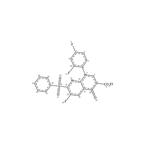 CCOC(=O)c1cn(-c2ccc(F)cc2F)c2nc(S(=O)(=O)c3ccccc3)c(F)cc2c1=O